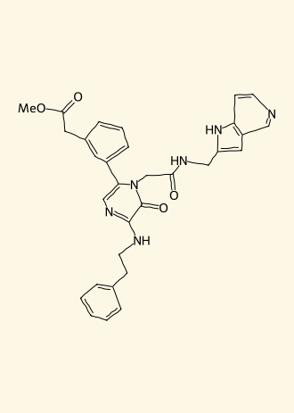 COC(=O)Cc1cccc(-c2cnc(NCCc3ccccc3)c(=O)n2CC(=O)NCc2cc3cnccc3[nH]2)c1